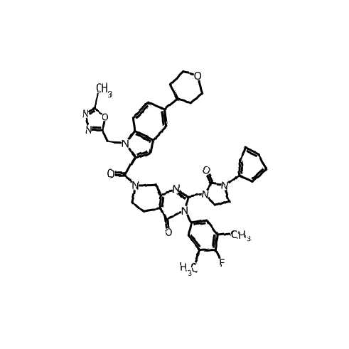 Cc1nnc(Cn2c(C(=O)N3CCc4c(nc(N5CCN(c6ccccc6)C5=O)n(-c5cc(C)c(F)c(C)c5)c4=O)C3)cc3cc(C4CCOCC4)ccc32)o1